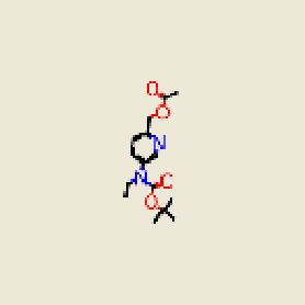 CCN(C(=O)OC(C)(C)C)c1ccc(COC(C)=O)nc1